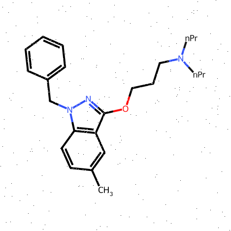 CCCN(CCC)CCCOc1nn(Cc2ccccc2)c2ccc(C)cc12